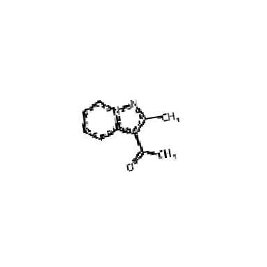 CC(=O)c1c(C)nn2ccccc12